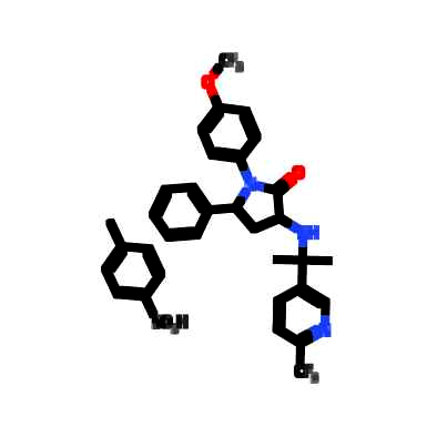 CC(C)(NC1CC(c2ccccc2)N(c2ccc(OC(F)(F)F)cc2)C1=O)c1ccc(C(F)(F)F)nc1.Cc1ccc(S(=O)(=O)O)cc1